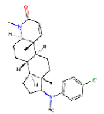 CC(=O)N(c1ccc(Cl)cc1)[C@H]1CC[C@H]2[C@@H]3CC[C@H]4N(C)C(=O)C=C[C@]4(C)[C@H]3CC[C@]12C